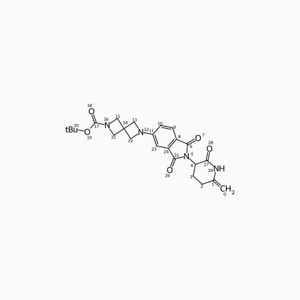 C=C1CCC(N2C(=O)c3ccc(N4CC5(CN(C(=O)OC(C)(C)C)C5)C4)cc3C2=O)C(=O)N1